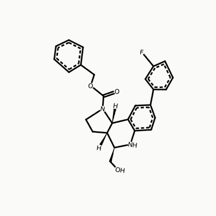 O=C(OCc1ccccc1)N1CC[C@H]2[C@H](CO)Nc3ccc(-c4cccc(F)c4)cc3[C@H]21